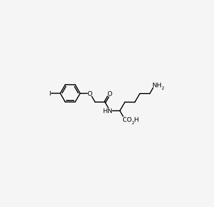 NCCCCC(NC(=O)COc1ccc(I)cc1)C(=O)O